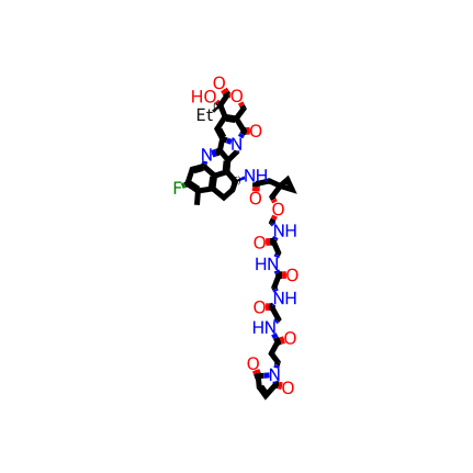 CC[C@@]1(O)C(=O)OCc2c1cc1n(c2=O)Cc2c-1nc1cc(F)c(C)c3c1c2[C@@H](NC(=O)CC1(COCNC(=O)CNC(=O)CNC(=O)CNC(=O)CCN2C(=O)C=CC2=O)CC1)CC3